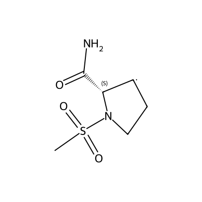 CS(=O)(=O)N1CC[CH][C@H]1C(N)=O